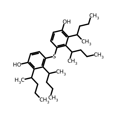 CCCC(C)c1c(O)ccc(Sc2ccc(O)c(C(C)CCC)c2C(C)CCC)c1C(C)CCC